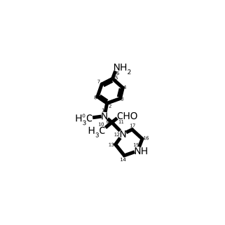 CN(c1ccc(N)cc1)C(C)(C=O)N1CCNCC1